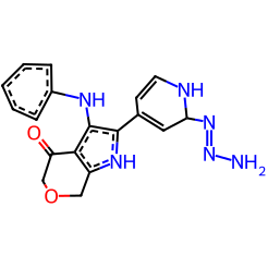 NN=NC1C=C(c2[nH]c3c(c2Nc2ccccc2)C(=O)COC3)C=CN1